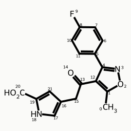 Cc1onc(-c2ccc(F)cc2)c1C(=O)Cc1c[nH]c(C(=O)O)c1